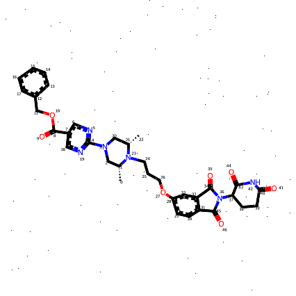 C[C@@H]1CN(c2ncc(C(=O)OCc3ccccc3)cn2)C[C@H](C)N1CCCOc1ccc2c(c1)C(=O)N(C1CCC(=O)NC1=O)C2=O